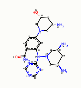 NC(=O)c1ccc(N2C[C@@H](N)C[C@@H](O)C2)cc1N(c1ncncn1)N1C[C@H](N)C[C@H](N)C1